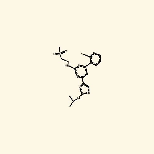 CC(C)Nc1ncc(-c2cc(-c3ccccc3Cl)nc(NCCS(C)(=O)=O)n2)s1